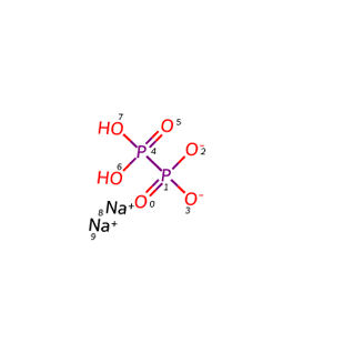 O=P([O-])([O-])P(=O)(O)O.[Na+].[Na+]